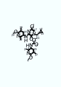 COc1nc(C)c(NC(=O)OC[C@@H](C2CC2)n2cc(Cl)nc(Nc3cc(C)c(OC)nc3C)c2=O)cc1C